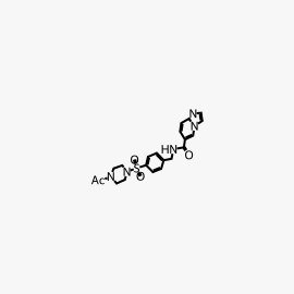 CC(=O)N1CCN(S(=O)(=O)c2ccc(CNC(=O)c3ccc4nccn4c3)cc2)CC1